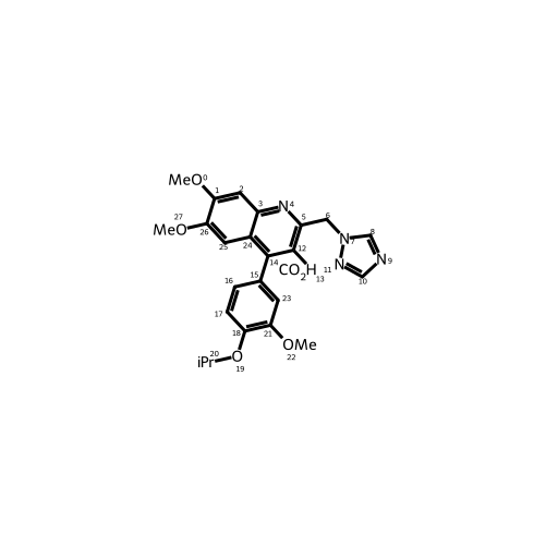 COc1cc2nc(Cn3cncn3)c(C(=O)O)c(-c3ccc(OC(C)C)c(OC)c3)c2cc1OC